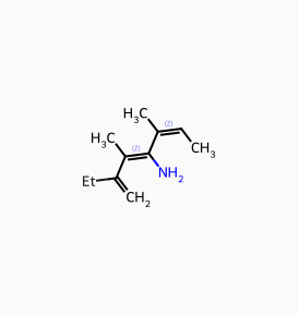 C=C(CC)/C(C)=C(N)/C(C)=C\C